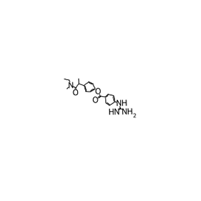 CCN(C)C(=O)C(C)c1ccc(OC(=O)c2ccc(NC(=N)N)cc2)cc1